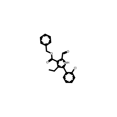 CCc1c(-c2ccccc2Cl)[nH]c(C=O)c1C(=O)OCc1ccccc1